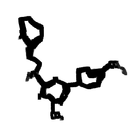 ClC(Cl)(Cl)c1ccc(-c2nc(NCCc3ccccn3)nc(C(Cl)(Cl)Cl)n2)cc1